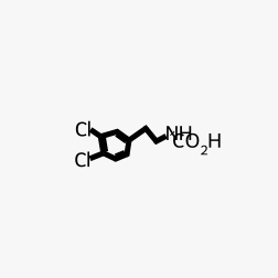 O=C(O)NCCc1ccc(Cl)c(Cl)c1